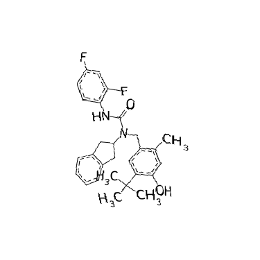 Cc1cc(O)c(C(C)(C)C)cc1CN(C(=O)Nc1ccc(F)cc1F)C1Cc2ccccc2C1